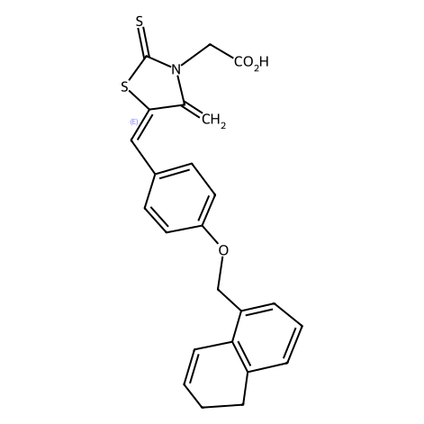 C=c1/c(=C\c2ccc(OCc3cccc4c3C=CCC4)cc2)sc(=S)n1CC(=O)O